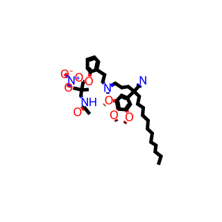 CCCCCCCCCCCCC(C#N)(CCCN(C)CCc1ccccc1OC(O[N+](=O)[O-])C(C)(C)CNC(C)=O)c1cc(OC)c(OC)c(OC)c1